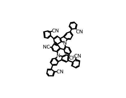 N#Cc1ccc(-c2cc(C(F)(F)F)ccc2-n2c3ccc(-c4ccccc4C#N)cc3c3cc(-c4ccccc4C#N)ccc32)c(-n2c3ccc(-c4ccccc4C#N)cc3c3cc(-c4ccccc4C#N)ccc32)c1